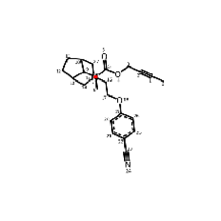 CC#CCOC(=O)N(C)C1C2CCC1CN(CCOc1ccc(C#N)cc1)C2